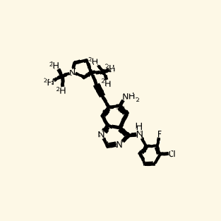 [2H]C([2H])([2H])N1CCC(C#Cc2cc3ncnc(Nc4cccc(Cl)c4F)c3cc2N)(C([2H])([2H])[2H])C1